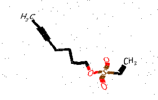 C=CS(=O)(=O)OCCCCC#CC